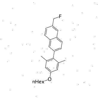 CCCCCCOc1cc(C)c(-c2ccc3cc(CF)ccc3c2)c(C)c1